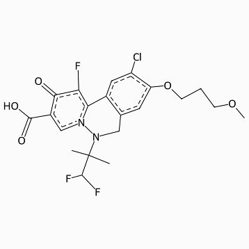 COCCCOc1cc2c(cc1Cl)-c1c(F)c(=O)c(C(=O)O)cn1N(C(C)(C)C(F)F)C2